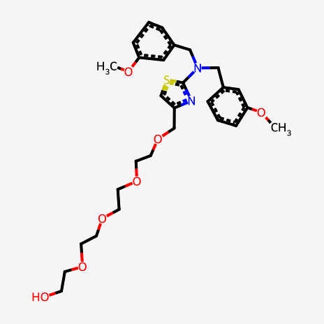 COc1cccc(CN(Cc2cccc(OC)c2)c2nc(COCCOCCOCCOCCO)cs2)c1